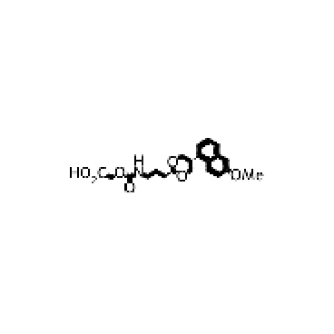 COc1ccc2c(cccc2[C@H]2CO[C@H](CCCNC(=O)OCC(=O)O)OC2)c1